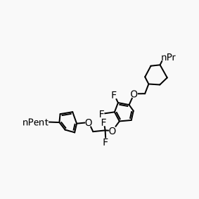 CCCCCc1ccc(OCC(F)(F)Oc2ccc(OCC3CCC(CCC)CC3)c(F)c2F)cc1